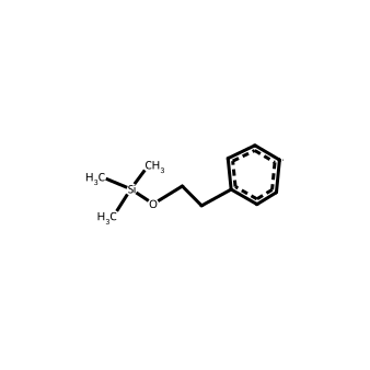 C[Si](C)(C)OCCc1cc[c]cc1